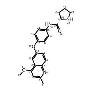 COc1cc(C)nc2ccc(Oc3ccc(NC(=O)[C@@H]4CCCN4)cc3)cc12